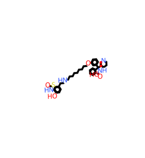 O=C(O)NC(c1ccccc1)(c1cccc(OCCCCCCCCCNCCc2ccc(O)c3[nH]c(=O)sc23)c1)C1CN2CCC1CC2